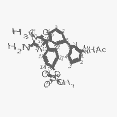 CC(=O)Nc1cccc(-c2cccc(C3(c4ccc(OS(C)(=O)=O)cc4)N=C(N)N(C)C3=O)c2)c1